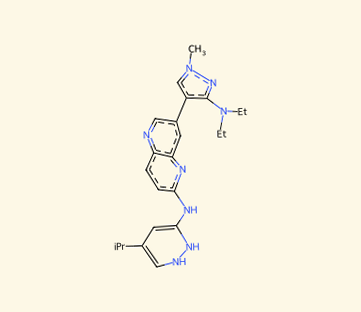 CCN(CC)c1nn(C)cc1-c1cnc2ccc(NC3=CC(C(C)C)=CNN3)nc2c1